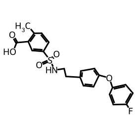 Cc1ccc(S(=O)(=O)NCCc2ccc(Oc3ccc(F)cc3)cc2)cc1C(=O)O